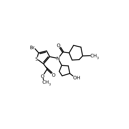 COC(=O)c1sc(Br)cc1N(C(=O)C1CCC(C)CC1)C1CCC(O)C1